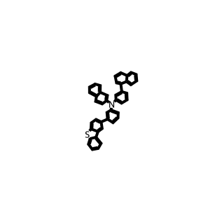 c1cc(-c2ccc3sc4ccccc4c3c2)cc(N(c2cccc(-c3cccc4ccccc34)c2)c2ccc3ccccc3c2)c1